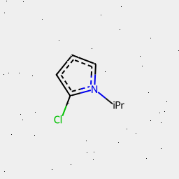 CC(C)n1cccc1Cl